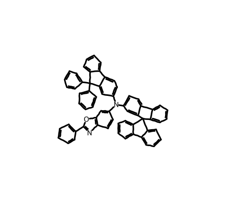 c1ccc(-c2nc3ccc(N(c4ccc5c(c4)C(c4ccccc4)(c4ccccc4)c4ccccc4-5)c4ccc5c(c4)C4(c6ccccc6-c6ccccc64)c4ccccc4-5)cc3o2)cc1